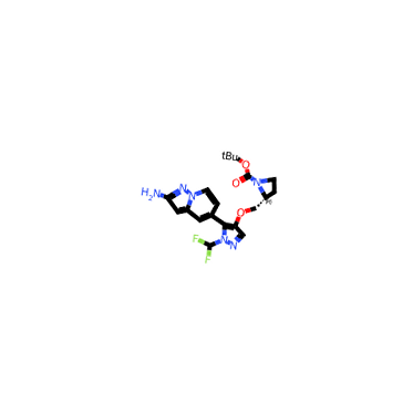 CC(C)(C)OC(=O)N1CC[C@@H]1COc1cnn(C(F)F)c1-c1ccn2nc(N)cc2c1